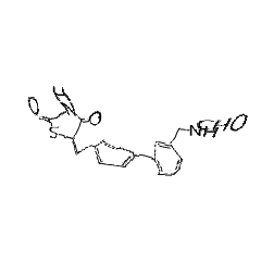 O=CNCc1cccc(-c2ccc(CC3SC(=O)NC3=O)cc2)c1